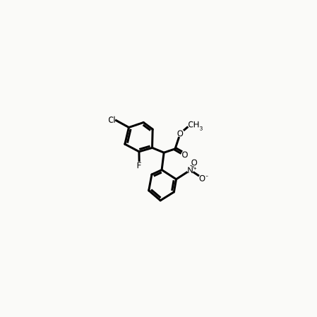 COC(=O)C(c1ccc(Cl)cc1F)c1ccccc1[N+](=O)[O-]